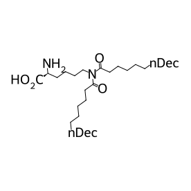 CCCCCCCCCCCCCCCC(=O)N(CCCC[C@H](N)C(=O)O)C(=O)CCCCCCCCCCCCCCC